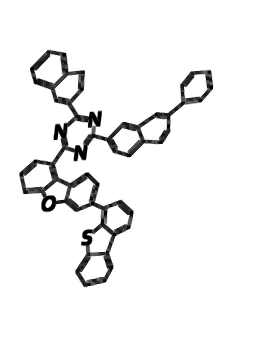 c1ccc(-c2ccc3ccc(-c4nc(-c5ccc6ccccc6c5)nc(-c5cccc6oc7cc(-c8cccc9c8sc8ccccc89)ccc7c56)n4)cc3c2)cc1